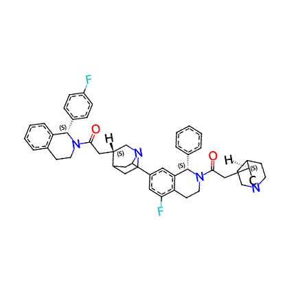 O=C(C[C@@H]1CN2CCC1CC2c1cc(F)c2c(c1)[C@H](c1ccccc1)N(C(=O)C[C@@H]1CN3CCC1CC3)CC2)N1CCc2ccccc2[C@@H]1c1ccc(F)cc1